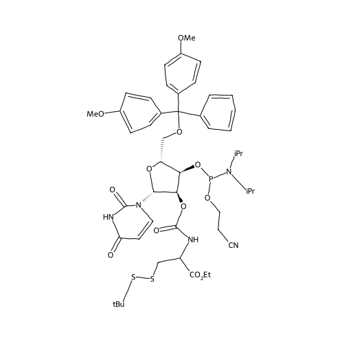 CCOC(=O)C(CSSC(C)(C)C)NC(=O)O[C@@H]1[C@H](OP(OCCC#N)N(C(C)C)C(C)C)[C@@H](COC(c2ccccc2)(c2ccc(OC)cc2)c2ccc(OC)cc2)O[C@H]1n1ccc(=O)[nH]c1=O